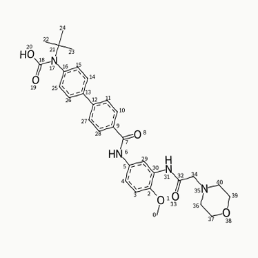 COc1ccc(NC(=O)c2ccc(-c3ccc(N(C(=O)O)C(C)(C)C)cc3)cc2)cc1NC(=O)CN1CCOCC1